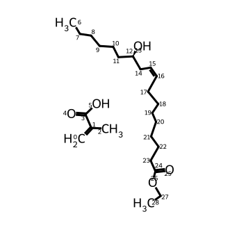 C=C(C)C(=O)O.CCCCCC[C@@H](O)C/C=C\CCCCCCCC(=O)OCC